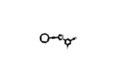 N#Cc1cc(F)cc(-n2cc(C#C/C3=C/C=C\C=C/CCC3)cn2)c1